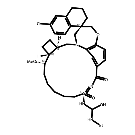 CCNC(O)N[S@]1(=O)=NC(=O)c2ccc3c(c2)N(C[C@@H]2CC[C@H]2[C@@H](OC)CCCCC1)C[C@@]1(CCCc2cc(Cl)ccc21)CO3